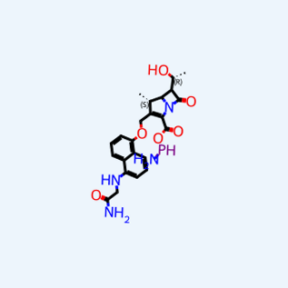 C[C@@H](O)C1C(=O)N2C(C(=O)OPN)=C(COc3cccc4c(NCC(N)=O)cccc34)[C@H](C)C12